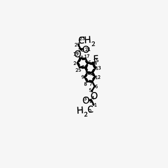 C=CC(=O)OCCc1ccc2c(c1)cc(F)c1cc(OC(=O)C=C)ccc12